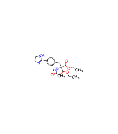 CCOC(=O)C(Cc1ccc(C2=NCCN2)cc1)(NC(C)=O)C(=O)OCC